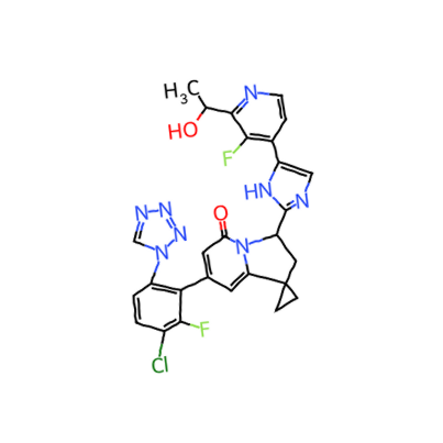 CC(O)c1nccc(-c2cnc(C3CC4(CC4)c4cc(-c5c(-n6cnnn6)ccc(Cl)c5F)cc(=O)n43)[nH]2)c1F